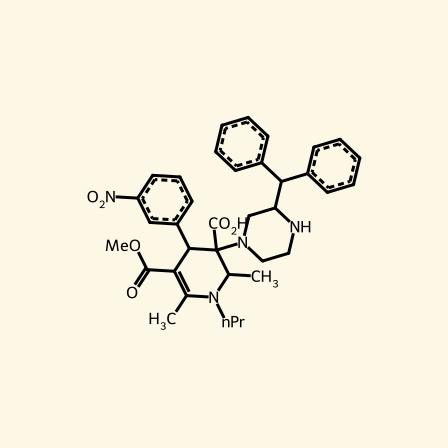 CCCN1C(C)=C(C(=O)OC)C(c2cccc([N+](=O)[O-])c2)C(C(=O)O)(N2CCNC(C(c3ccccc3)c3ccccc3)C2)C1C